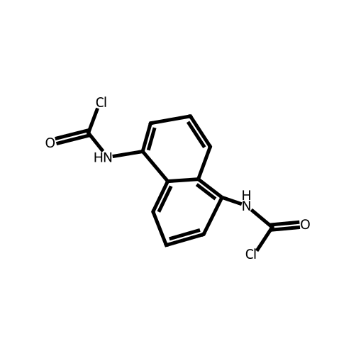 O=C(Cl)Nc1cccc2c(NC(=O)Cl)cccc12